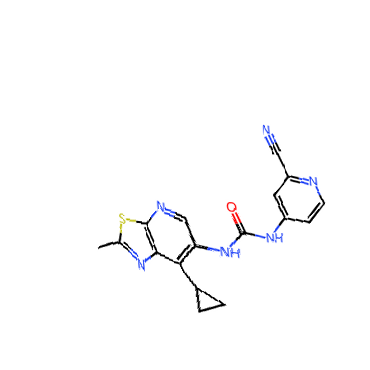 Cc1nc2c(C3CC3)c(NC(=O)Nc3ccnc(C#N)c3)cnc2s1